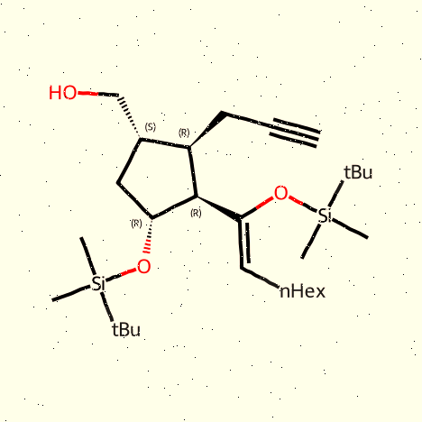 C#CC[C@@H]1[C@@H](CO)C[C@@H](O[Si](C)(C)C(C)(C)C)[C@@H]1C(=CCCCCCC)O[Si](C)(C)C(C)(C)C